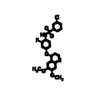 COc1cc2nccc(Oc3ccc(NS(=O)(=O)c4cccc(Cl)c4)c(F)c3)c2cc1OC